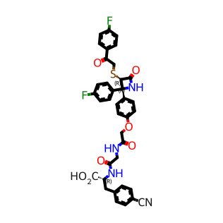 N#Cc1ccc(C[C@@H](NC(=O)CNC(=O)COc2ccc([C@]3(c4ccc(F)cc4)NC(=O)[C@@H]3SCC(=O)c3ccc(F)cc3)cc2)C(=O)O)cc1